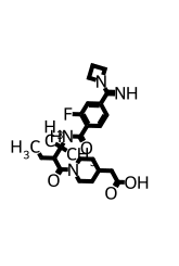 CCC(C(=O)N1CCC(CC(=O)O)CC1)C(C)(C)NC(=O)c1ccc(C(=N)N2CCC2)cc1F